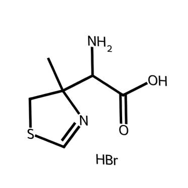 Br.CC1(C(N)C(=O)O)CSC=N1